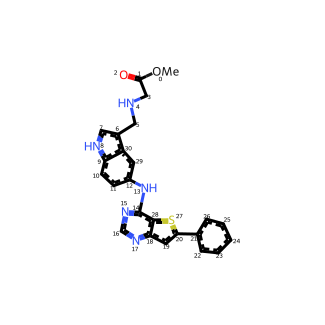 COC(=O)CNCc1c[nH]c2ccc(Nc3ncnc4cc(-c5ccccc5)sc34)cc12